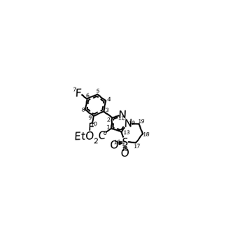 CCOC(=O)c1c(-c2ccc(F)cc2F)nn2c1S(=O)(=O)CCC2